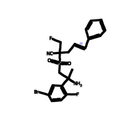 CC(N)(CS(=O)(=O)C(C#N)(CF)C/C=C/c1ccccc1)c1cc(Br)ccc1F